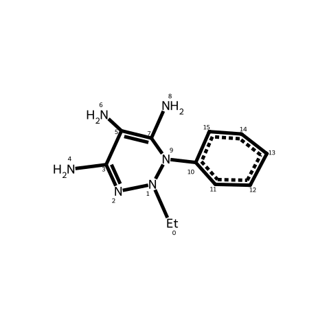 CCN1N=C(N)C(N)=C(N)N1c1ccccc1